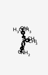 CC1(C)CCC(CN2CCN(c3ccc(C(N)=O)cc3)CC2)=C(c2cc(-c3ccc(C(C)(C)O)cc3)cs2)C1